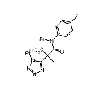 CCOC(=O)C(C)(C(=O)N(c1ccc(F)cc1)C(C)C)c1nnnn1CC